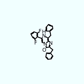 O=c1c(Cc2ccccc2)nc2c(Cc3ccccc3)[nH]c(-c3c(F)cccc3F)cn1-2